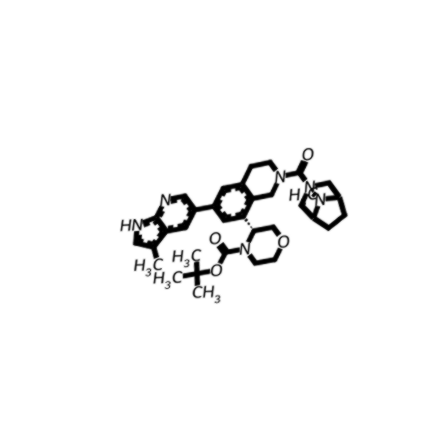 Cc1c[nH]c2ncc(-c3cc4c(c([C@@H]5COCCN5C(=O)OC(C)(C)C)c3)CN(C(=O)N3CC5CCC(C3)N5C)CC4)cc12